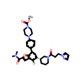 CN(C)C(=O)c1cc2c(F)c([C@H]3CCCN(C(=O)CCn4cccn4)C3)cc(-c3ccc(N4CCN(C(=O)OC(C)(C)C)CC4)cc3)c2o1